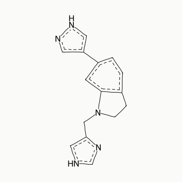 c1nc(CN2CCc3ccc(-c4cn[nH]c4)cc32)c[nH]1